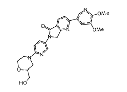 COc1cc(-c2ccc3c(n2)CN(c2ccc(N4CCOC(CO)C4)nc2)C3=O)cnc1OC